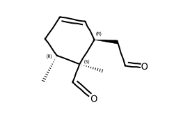 C[C@@H]1CC=C[C@@H](CC=O)[C@@]1(C)C=O